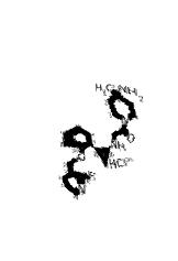 CC1(N)CCN(C(=O)CN[C@@H]2C[C@H]2c2ccccc2OCc2cccnc2F)CC1.Cl